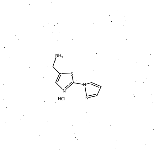 Cl.NCc1cnc(-n2cccn2)s1